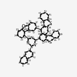 c1ccc2cc(-c3nc(-c4ccc5c(c4)sc4ccccc45)nc(-c4cccc5oc6ccc(-c7cccc8sc9ccccc9c78)cc6c45)n3)ccc2c1